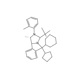 Cc1ccccc1N1C(C(C)(C)C)N2C(c3ccccc3C2(C2CCCCC2)C2CCCC2)[C@@H]1C